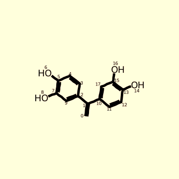 C=C(c1ccc(O)c(O)c1)c1ccc(O)c(O)c1